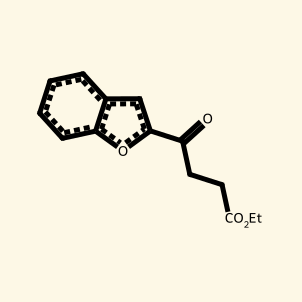 CCOC(=O)CCC(=O)c1cc2ccccc2o1